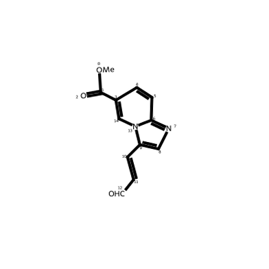 COC(=O)c1ccc2ncc(/C=C/C=O)n2c1